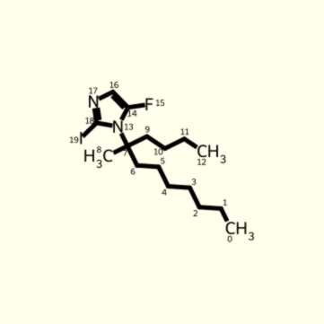 CCCCCCCC(C)(CCCC)n1c(F)cnc1I